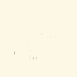 CCCC(CC)(OP(=O)(O)O)[Si](OCC)(OCC)OCC